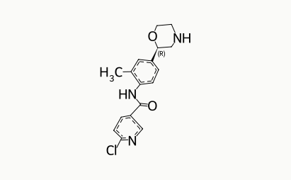 Cc1cc([C@@H]2CNCCO2)ccc1NC(=O)c1ccc(Cl)nc1